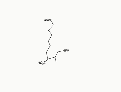 CCCCCCCCCCCCCCCCC(C(=O)O)C(C)CC(C)(C)C